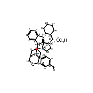 Cc1nc2ccccc2n1C1CC2COCC(C1)N2C[C@H]1CN([C@@H](C(=O)O)C2CCCCC2)C[C@@H]1c1cccc(F)c1